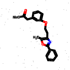 COC(=O)Cc1cccc(OCCc2nc(-c3ccccc3)oc2C)c1